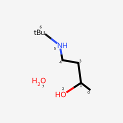 CC(O)CCNC(C)(C)C.O